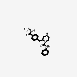 CN1CCN(C(=O)Nc2ccccc2)C(Cc2ccc(C(=O)NN)cc2)C1